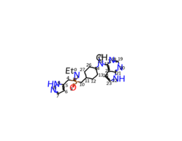 CCN=S(=O)(Cc1ccn[nH]1)CC1CCC(N(C)c2ncnc3[nH]ccc23)CC1